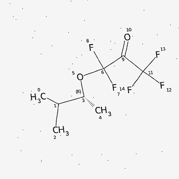 CC(C)[C@@H](C)OC(F)(F)C(=O)C(F)(F)F